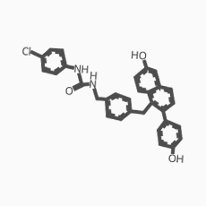 O=C(NCc1ccc(Cc2c(-c3ccc(O)cc3)ccc3cc(O)ccc23)cc1)Nc1ccc(Cl)cc1